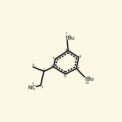 CC(CC#N)c1cc(C(C)(C)C)cc(C(C)(C)C)c1